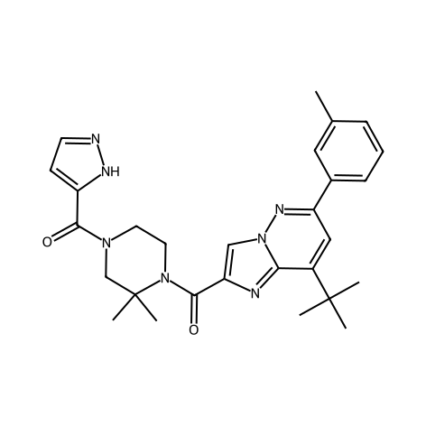 Cc1cccc(-c2cc(C(C)(C)C)c3nc(C(=O)N4CCN(C(=O)c5ccn[nH]5)CC4(C)C)cn3n2)c1